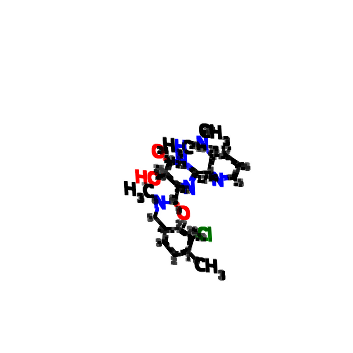 Cc1ccc(CN(C)C(=O)c2nc(-c3ncccc3N(C)C)[nH]c(=O)c2O)cc1Cl